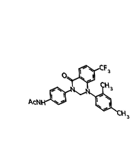 CC(=O)Nc1ccc(N2CN(c3ccc(C)cc3C)c3cc(C(F)(F)F)ccc3C2=O)cc1